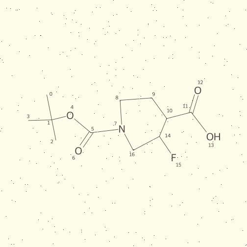 CC(C)(C)OC(=O)N1CCC(C(=O)O)C(F)C1